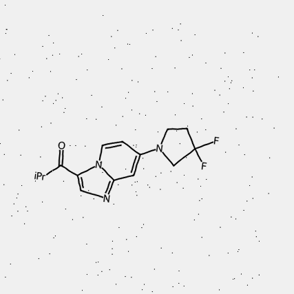 CC(C)C(=O)c1cnc2cc(N3CCC(F)(F)C3)ccn12